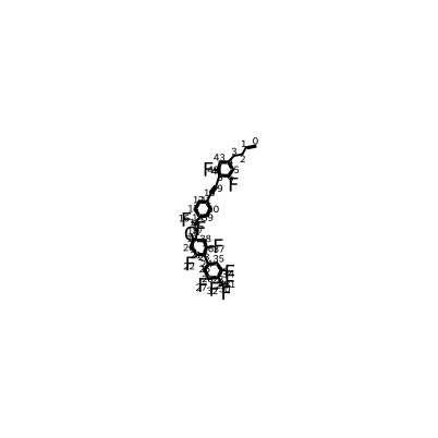 C=CCCc1cc(F)c(C#Cc2ccc(C(F)(F)Oc3cc(F)c(-c4cc(F)c(C(F)(F)F)c(F)c4)c(F)c3)cc2)c(F)c1